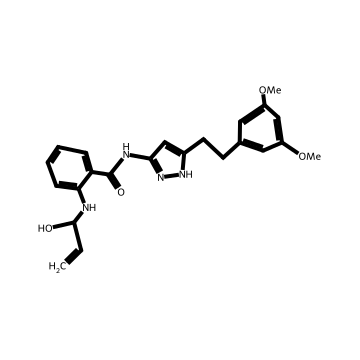 C=CC(O)Nc1ccccc1C(=O)Nc1cc(CCc2cc(OC)cc(OC)c2)[nH]n1